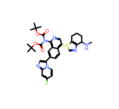 CNC1CCCC2=C1N=C[SH]2c1cnc(N(C(=O)OC(C)(C)C)C(=O)OC(C)(C)C)c2cc(-c3cnc4cc(F)ccn34)ccc12